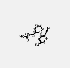 N#Cc1ncc(Br)cc1N1CCOCC1CNC(=O)O